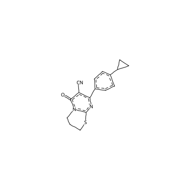 N#Cc1c(-c2ccc(C3CC3)cc2)nc2n(c1=O)CCCS2